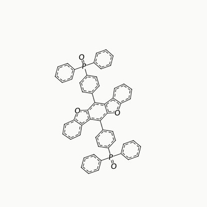 O=P(c1ccccc1)(c1ccccc1)c1ccc(-c2c3oc4ccccc4c3c(-c3ccc(P(=O)(c4ccccc4)c4ccccc4)cc3)c3oc4ccccc4c23)cc1